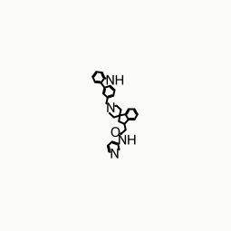 O=C(CC1CC2(CCN(Cc3ccc4[nH]c5ccccc5c4c3)CC2)c2ccccc21)Nc1cccnc1